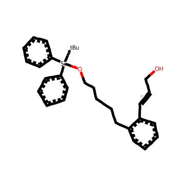 CC(C)(C)[Si](OCCCCCc1ccccc1/C=C/CO)(c1ccccc1)c1ccccc1